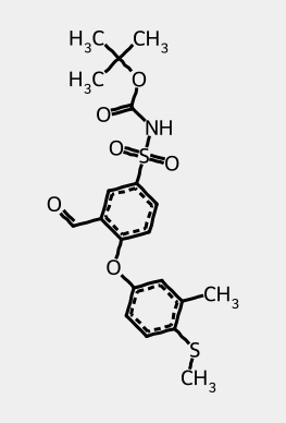 CSc1ccc(Oc2ccc(S(=O)(=O)NC(=O)OC(C)(C)C)cc2C=O)cc1C